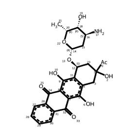 CC(=O)C1(O)Cc2c(O)c3c(c(O)c2[C@@H](O[C@H]2C[C@H](N)[C@@H](O)[C@@H](C)O2)C1)C(=O)c1ccccc1C3=O